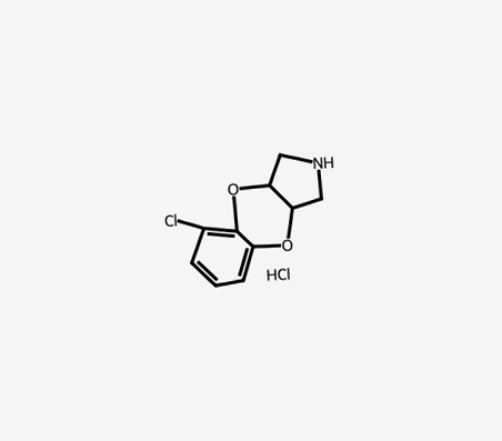 Cl.Clc1cccc2c1OC1CNCC1O2